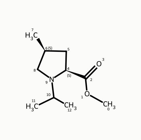 COC(=O)[C@@H]1C[C@H](C)CN1C(C)C